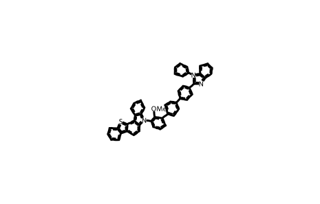 COc1c(-c2ccc(-c3ccc(-c4nc5ccccc5n4-c4ccccc4)cc3)cc2)cccc1-n1c2ccccc2c2c3sc4ccccc4c3ccc21